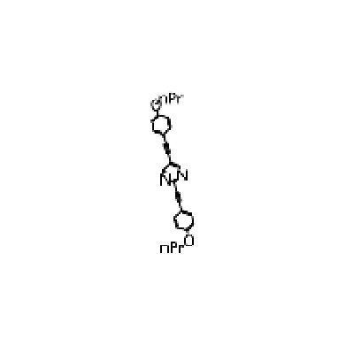 CCCOc1ccc(C#Cc2cnc(C#Cc3ccc(OCCC)cc3)nc2)cc1